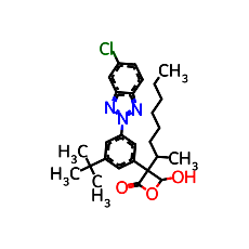 CCCCCCC(C)C1(c2cc(-n3nc4ccc(Cl)cc4n3)cc(C(C)(C)C)c2)C(=O)OC1O